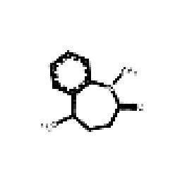 CC1CCC(=O)N(C)c2ccccc21